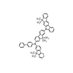 CC1(C)C2=C(CCC=C2)c2ccc(N(c3ccc(-c4ccccc4)cc3)c3ccc4c(c3)C(C)(C)c3cc(-n5c6ccccc6c6cc7c(cc65)C(C)(C)c5ccccc5-7)ccc3-4)cc21